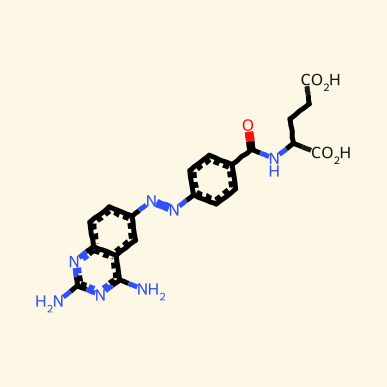 Nc1nc(N)c2cc(N=Nc3ccc(C(=O)NC(CCC(=O)O)C(=O)O)cc3)ccc2n1